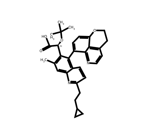 Cc1cc2nc(CCC3CC3)ccc2c(-c2ccc3c4c(ccnc24)CCO3)c1[C@H](OC(C)(C)C)C(=O)O